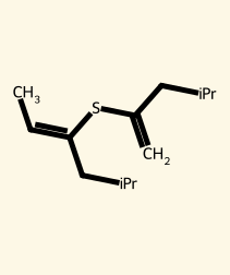 C=C(CC(C)C)S/C(=C\C)CC(C)C